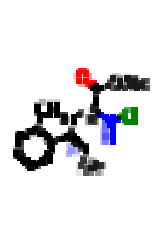 CCC/C=C(/C[C@@H](NCl)C(=O)OC)c1ccccc1C